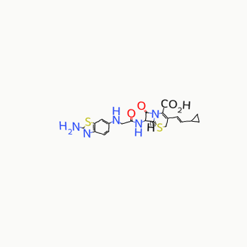 Nc1nc2ccc(NCC(=O)NC3C(=O)N4C(C(=O)O)=C(C=CC5CC5)CS[C@@H]34)cc2s1